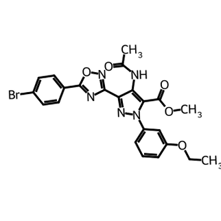 CCOc1cccc(-n2nc(-c3noc(-c4ccc(Br)cc4)n3)c(NC(C)=O)c2C(=O)OC)c1